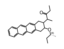 CCC(=O)C(C)C1Cc2cc3cc4ccccc4cc3cc2CC1O[C@H](C)CC